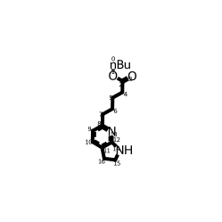 CCCCOC(=O)CCCCc1ccc2c(n1)NCC2